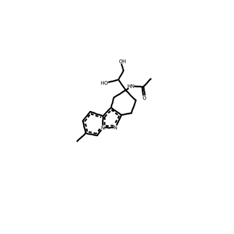 CC(=O)NC1(C(O)CO)CCc2nn3cc(C)ccc3c2C1